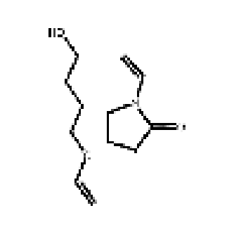 C=CN1CCCC1=O.C=COCCCCO